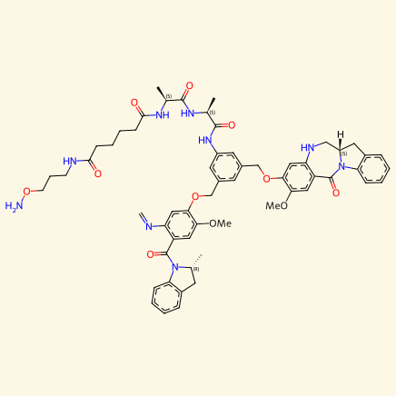 C=Nc1cc(OCc2cc(COc3cc4c(cc3OC)C(=O)N3c5ccccc5C[C@H]3CN4)cc(NC(=O)[C@H](C)NC(=O)[C@H](C)NC(=O)CCCCC(=O)NCCCON)c2)c(OC)cc1C(=O)N1c2ccccc2C[C@H]1C